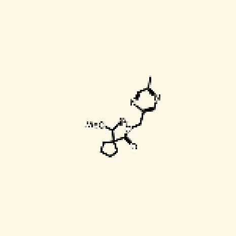 COC(C(C)C)C1(C(=O)OCc2cnc(C)cn2)CCCC1